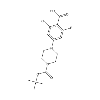 CC(C)(C)OC(=O)N1CCN(c2cc(F)c(C(=O)O)c(Cl)c2)CC1